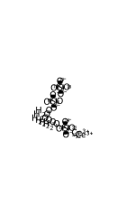 O.O.O.O.O.O.O=S(=O)([O-])[O-].O=S(=O)([O-])[O-].O=S(=O)([O-])[O-].[Ce+3].[Ce+3]